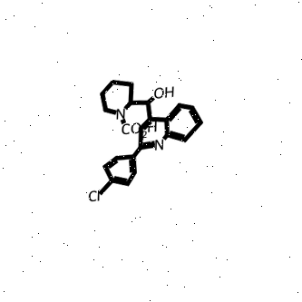 O=C(O)N1CCCCC1C(O)c1cc(-c2ccc(Cl)cc2)nc2ccccc12